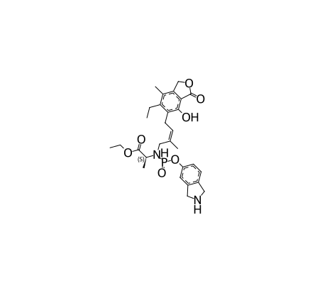 CCOC(=O)[C@H](C)N(CC(C)=CCc1c(O)c2c(c(C)c1CC)COC2=O)[PH](=O)Oc1ccc2c(c1)CNC2